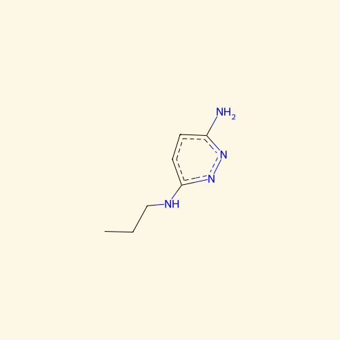 CCCNc1ccc(N)nn1